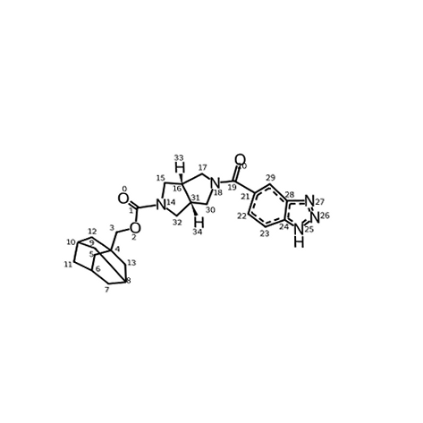 O=C(OCC12CC3CC(CC(C3)C1)C2)N1C[C@@H]2CN(C(=O)c3ccc4[nH]nnc4c3)C[C@@H]2C1